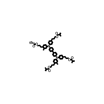 C=C(C)C(=O)OCCCc1ccc(N(c2ccc(-c3ccc(N(c4ccc(CCCOC(=O)C(=C)C)cc4)c4ccc(CCCOC(=O)C(C)(C)C)c(C)c4)cc3)cc2)c2ccc(CCCOC(=O)C(=C)C)c(C)c2)cc1